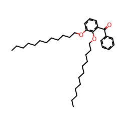 CCCCCCCCCCCCOc1cccc(C(=O)c2ccccc2)c1OCCCCCCCCCCCC